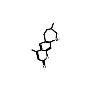 Cc1cc(=O)oc2cc3c(cc12)CCC(C)CN3